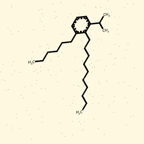 CCCCCCCCCCc1c(CCCCCC)cccc1C(C)C